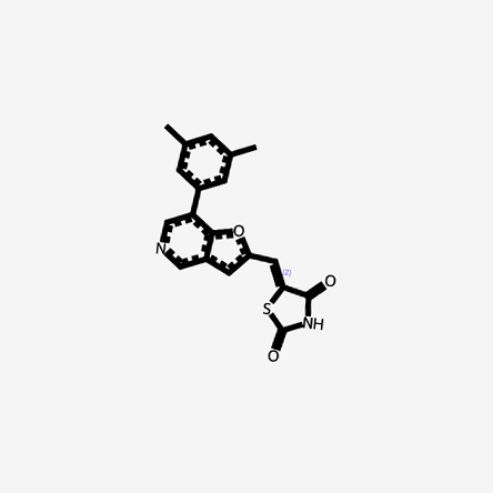 Cc1cc(C)cc(-c2cncc3cc(/C=C4\SC(=O)NC4=O)oc23)c1